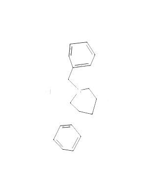 Cl.O[C@@H]1C[C@H](c2ccccc2)CN(Cc2ccccc2)C1